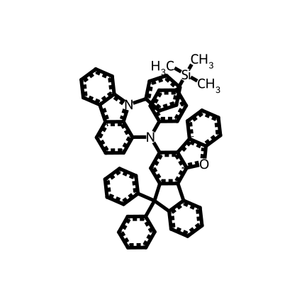 C[Si](C)(C)c1ccc(N(c2cc3c(c4oc5ccccc5c24)-c2ccccc2C3(c2ccccc2)c2ccccc2)c2cccc3c4ccccc4n(-c4ccccc4)c23)cc1